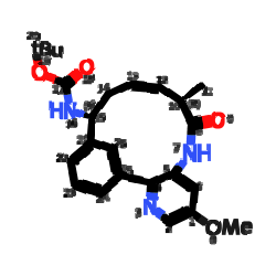 COc1cnc2c(c1)NC(=O)[C@H](C)C=CC[C@H](NC(=O)OC(C)(C)C)c1cccc-2c1